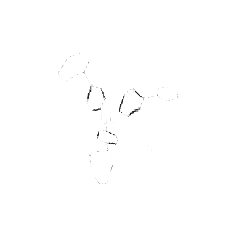 C[O-].c1c[c]([Ge+]([c]2ccc(C3CCCCC3)cc2)[c]2ccc(C3CCCCC3)cc2)ccc1C1CCCCC1